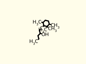 CCCC(O)C=C=C1C(C)CCC(C)C1(C)C